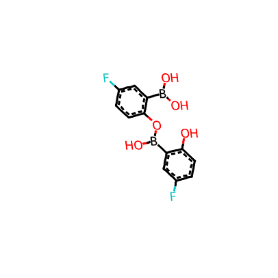 OB(Oc1ccc(F)cc1B(O)O)c1cc(F)ccc1O